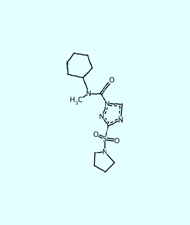 CN(C(=O)n1cnc(S(=O)(=O)N2CCCC2)n1)C1CCCCC1